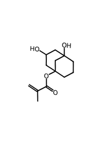 C=C(C)C(=O)OC12CCCC(O)(CC(O)C1)C2